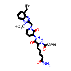 COC(=O)NC(CCC=CC(N)=O)C(=O)Nc1cccn(Cc2nc3c(CC(C)C)cccc3n2C(=O)O)c1=O